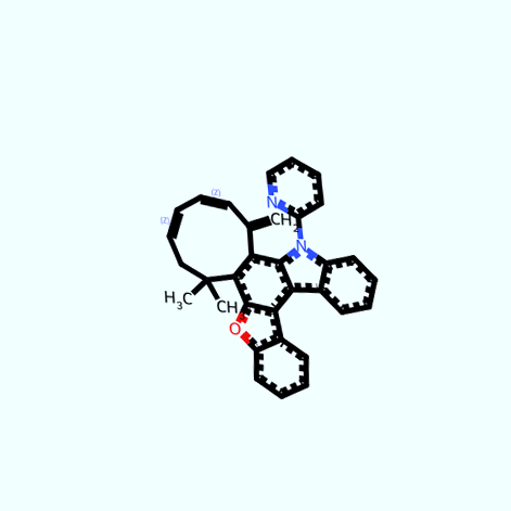 C=C1/C=C\C=C/CC(C)(C)c2c1c1c(c3ccccc3n1-c1ccccn1)c1c2oc2ccccc21